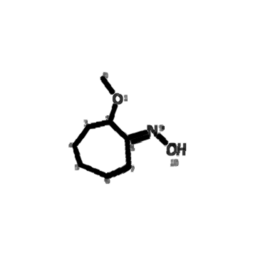 COC1CCCCCC1=NO